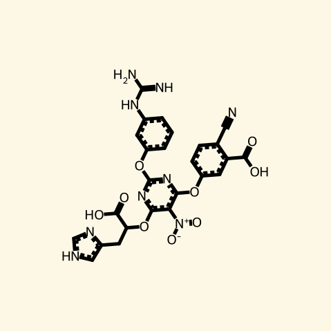 N#Cc1ccc(Oc2nc(Oc3cccc(NC(=N)N)c3)nc(OC(Cc3c[nH]cn3)C(=O)O)c2[N+](=O)[O-])cc1C(=O)O